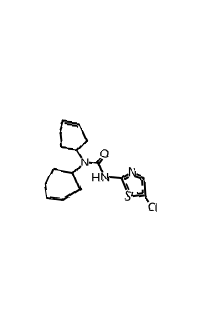 O=C(Nc1ncc(Cl)s1)N(C1CC=CCC1)C1CCCCC1